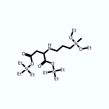 CCO[Si](C)(CCCNC(CC(=O)O[Si](CC)(CC)CC)C(=O)O[Si](CC)(CC)CC)OCC